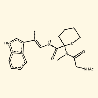 CC(=O)NCC(=O)N(C)C1(C(=O)NC=C(C)c2c[nH]c3ccccc23)CCCCC1